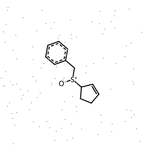 [O-][S+](Cc1ccccc1)C1C=CCC1